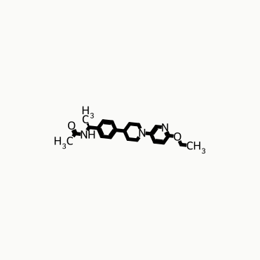 CCOc1ccc(N2CCC(c3ccc([C@H](C)NC(C)=O)cc3)CC2)cn1